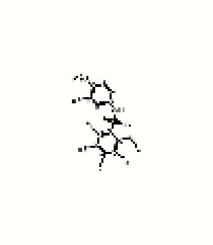 COc1ccc(NS(=O)(=O)c2c(F)c(F)c(F)c(F)c2CF)cc1F